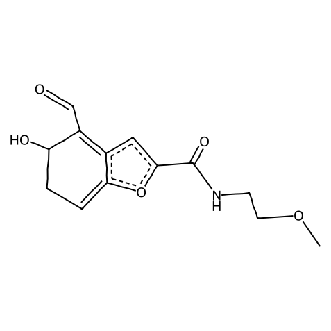 COCCNC(=O)c1cc2c(o1)=CCC(O)C=2C=O